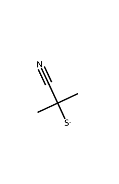 CC(C)([S])C#N